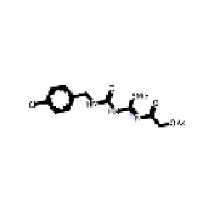 CS/C(=N\C(=O)COC(C)=O)NC(=O)NCc1ccc(Cl)cc1